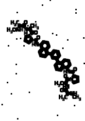 CNC(C)C(=O)NC(C)C(=O)N1CCC[C@H]1C(=O)N[C@@H]1CCCc2c(-c3cccc(-c4cccc5c4CCC[C@H]5NC(=O)[C@@H]4CCCN4C(=O)C(C)NC(=O)C(C)NC)c3)cccc21